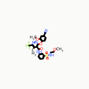 COCCNS(=O)(=O)c1cccc(NC(=O)c2c(Oc3ccc(C#N)cc3OC)nnc(C(F)(F)F)c2C)c1